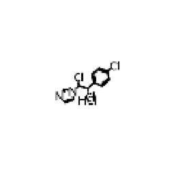 Cl.Clc1ccc(C(Cl)C(Cl)n2ccnc2)cc1